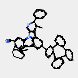 Cc1c(-c2ccccc2)ncc2c1c1cc(-c3ccc4c(c3)-c3ccccc3-c3ccccc3-c3ccccc3-4)cc3c4c5c(c(C#N)cc4n2c13)C1CCC5C(C)(C)C1